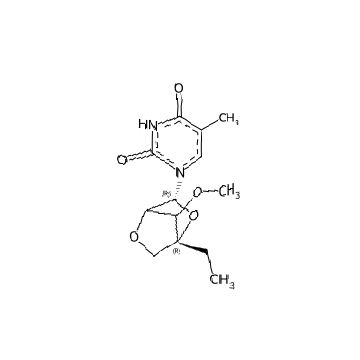 CC[C@@]12COC(C1OC)[C@H](n1cc(C)c(=O)[nH]c1=O)O2